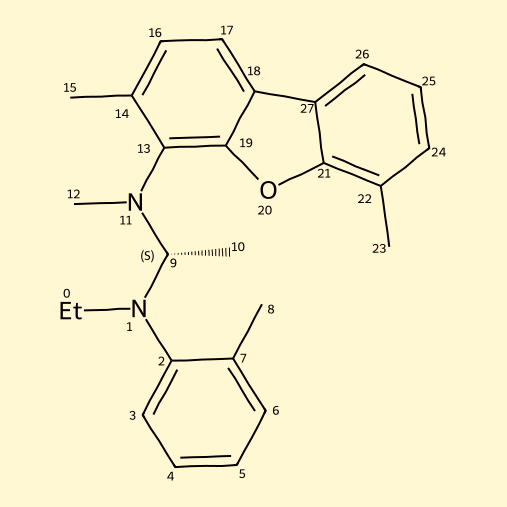 CCN(c1ccccc1C)[C@@H](C)N(C)c1c(C)ccc2c1oc1c(C)cccc12